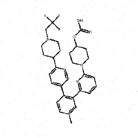 Cc1ccc(-c2ccc(C3CCN(CC(F)(F)F)CC3)cc2)c(-c2cccc(N3CCC(OC(=O)O)CC3)n2)c1